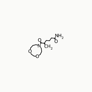 C=C(CCCC(N)=O)C(=O)N1CCCOCCOCCC1